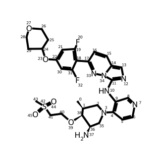 C[C@H]1CN(c2ccncc2Nc2ncc3ccc(-c4c(F)cc(OC5CCOCC5)cc4F)nn23)C[C@@H](N)[C@H]1OCCS(C)(=O)=O